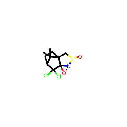 CC1(C)C2CCC13C[S+]([O-])[N@]1OC13C2(Cl)Cl